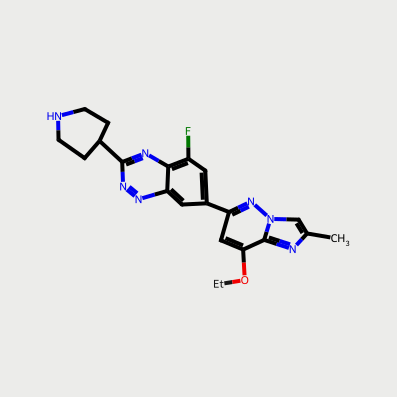 CCOc1cc(-c2cc(F)c3nc(C4CCNCC4)nnc3c2)nn2cc(C)nc12